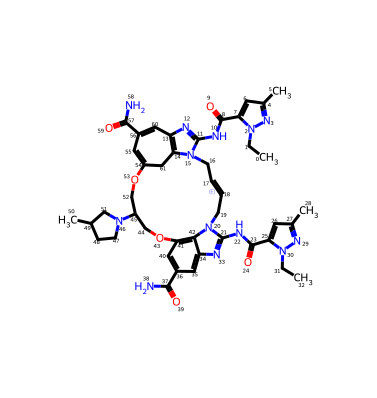 CCn1nc(C)cc1C(=O)Nc1nc2c3n1C/C=C/Cn1c(NC(=O)c4cc(C)nn4CC)nc4cc(C(N)=O)cc(c41)OCC(N1CCC(C)C1)COC(=CC(C(N)=O)=C2)C3